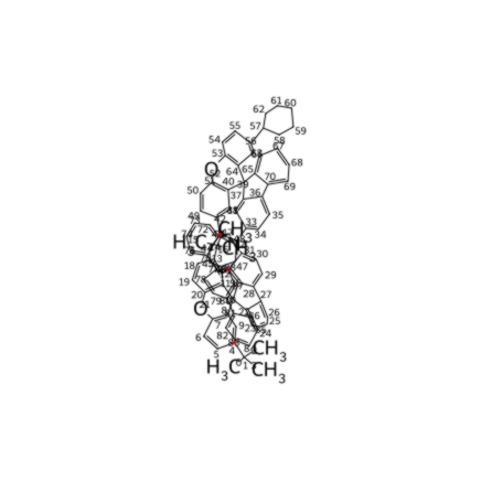 CC(C)(C)c1ccc2c(c1)C1(c3cc(C(C)(C)C)ccc3O2)c2ccccc2-c2ccc(N(c3ccc4c(c3)C3(c5cc(C6CCCCC6)ccc5Oc5ccc(C6CCCCC6)cc53)c3ccccc3-4)c3ccccc3-c3ccc(-c4ccccc4)cc3)cc21